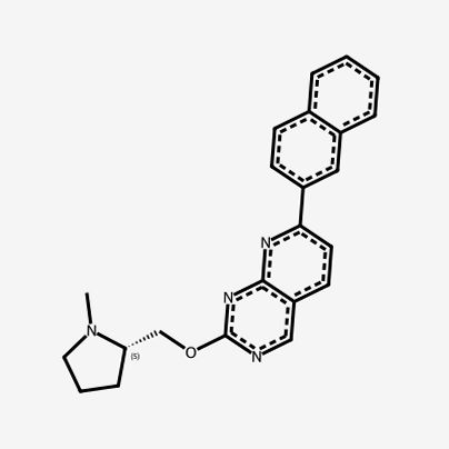 CN1CCC[C@H]1COc1ncc2ccc(-c3ccc4ccccc4c3)nc2n1